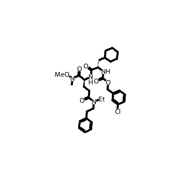 CCN(CCc1ccccc1)C(=O)CC[C@H](NC(=O)[C@H](CC1CCCCC1)NC(=O)OCc1cccc(Cl)c1)C(=O)N(C)OC